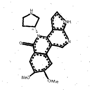 COc1cc2c(=O)n([C@@H]3CCNC3)c3c4cc[nH]c4ncc3c2cc1OC